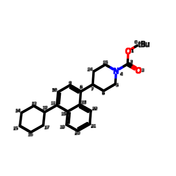 CC(C)(C)OC(=O)N1CCC(c2ccc(C3CCCCC3)c3ccccc23)CC1